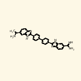 C=C(N)c1ccc2nc(-c3ccc(-c4ccc(-c5nc6ccc(C(=N)N)cc6[nH]5)cc4)cc3)[nH]c2c1